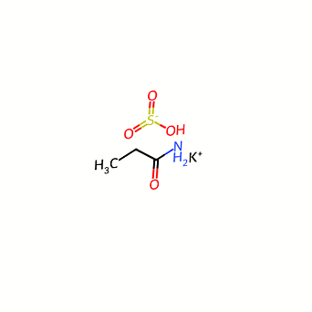 CCC(N)=O.O=[S-](=O)O.[K+]